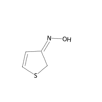 ON=C1C=CSC1